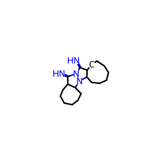 N=C1C2CCCCCCCC2N2C3CCCCCCC3C(=N)N12